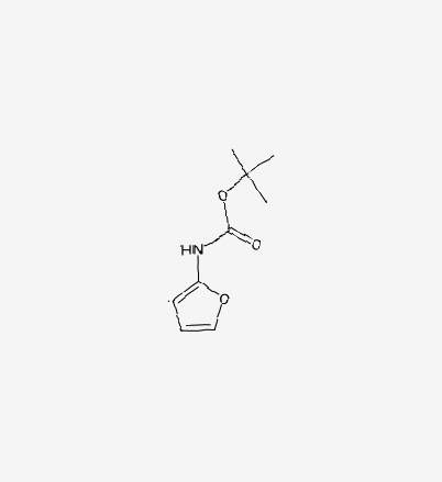 CC(C)(C)OC(=O)Nc1[c]cco1